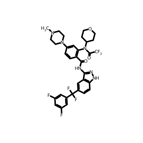 CN1CCN(c2ccc(C(=O)Nc3n[nH]c4ccc(C(F)(F)c5cc(F)cc(F)c5)cc34)c(N(C(=O)C(F)(F)F)C3CCOCC3)c2)CC1